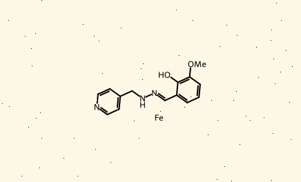 COc1cccc(C=NNCc2ccncc2)c1O.[Fe]